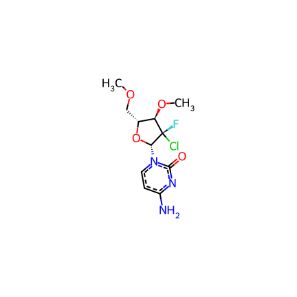 COC[C@H]1O[C@@H](n2ccc(N)nc2=O)[C@@](F)(Cl)[C@@H]1OC